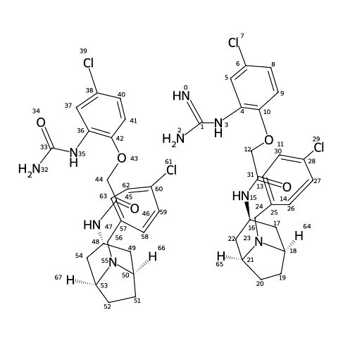 N=C(N)Nc1cc(Cl)ccc1OCC(=O)N[C@H]1C[C@H]2CC[C@@H](C1)N2Cc1ccc(Cl)cc1.NC(=O)Nc1cc(Cl)ccc1OCC(=O)N[C@@H]1C[C@H]2CC[C@@H](C1)N2Cc1ccc(Cl)cc1